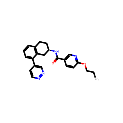 O=C(N[C@@H]1CCc2cccc(-c3ccnnc3)c2C1)c1ccc(OCCC(F)(F)F)nc1